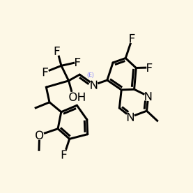 COc1c(F)cccc1C(C)CC(O)(/C=N/c1cc(F)c(F)c2nc(C)ncc12)C(F)(F)F